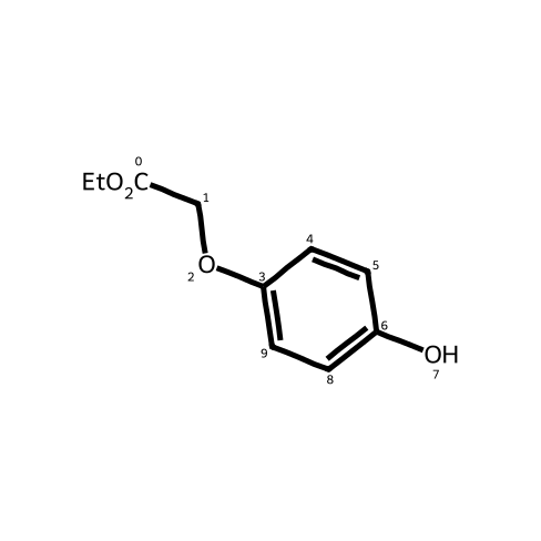 CCOC(=O)COc1ccc(O)cc1